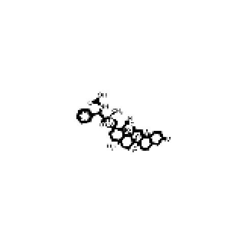 CN(CC1(C)CCC2(C)CCC3(C)C4(C)CCC5CC(=O)C=CC5(C)C4=CC(=O)C3(O)C2C1C#N)C(=O)C(NC(=O)O)c1ccccc1